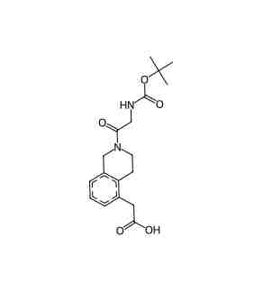 CC(C)(C)OC(=O)NCC(=O)N1CCc2c(CC(=O)O)cccc2C1